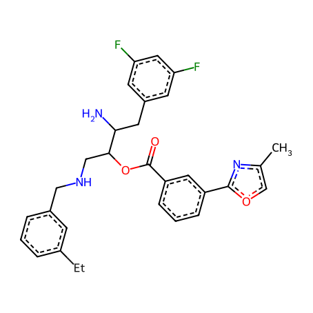 CCc1cccc(CNCC(OC(=O)c2cccc(-c3nc(C)co3)c2)C(N)Cc2cc(F)cc(F)c2)c1